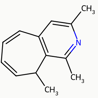 Cc1cc2c(c(C)n1)C(C)C=CC=C2